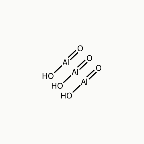 [O]=[Al][OH].[O]=[Al][OH].[O]=[Al][OH]